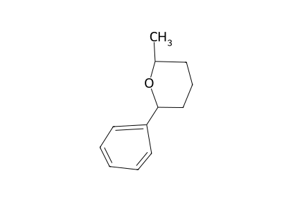 CC1CCCC(c2ccccc2)O1